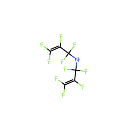 FC(F)=C(F)C(F)(F)[N]C(F)(F)C(F)=C(F)F